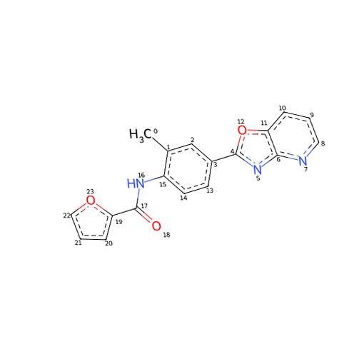 Cc1cc(-c2nc3ncccc3o2)ccc1NC(=O)c1ccco1